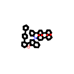 c1ccc(-c2ccc(-c3ccccc3N(c3ccc(-c4ccccc4)cc3)c3cc4c(oc5cccc(-c6ccc(-c7ccccc7)cc6)c54)c4ccccc34)cc2)cc1